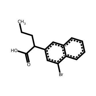 CCCC(C(=O)O)c1cc(Br)c2ccccc2c1